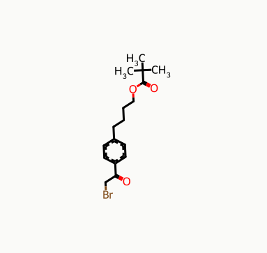 CC(C)(C)C(=O)OCCCCc1ccc(C(=O)CBr)cc1